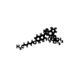 CCCCCCOc1ccc2cc(-c3noc([C@@H]4CCCN4C(=O)OC(C)(C)C)n3)ccc2c1